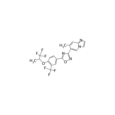 Cc1cc2nccn2cc1-c1noc(-c2ccc(OC(C)C(F)(F)F)c(C(F)(F)F)c2)n1